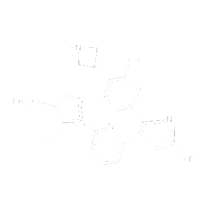 CCOC(=O)c1cnn(-c2cccc(-c3cc(C(F)(F)F)cnc3-c3ccc(C4CNC4)c(C)c3)n2)c1C(F)(F)F